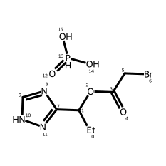 CCC(OC(=O)CBr)c1nc[nH]n1.O=[PH](O)O